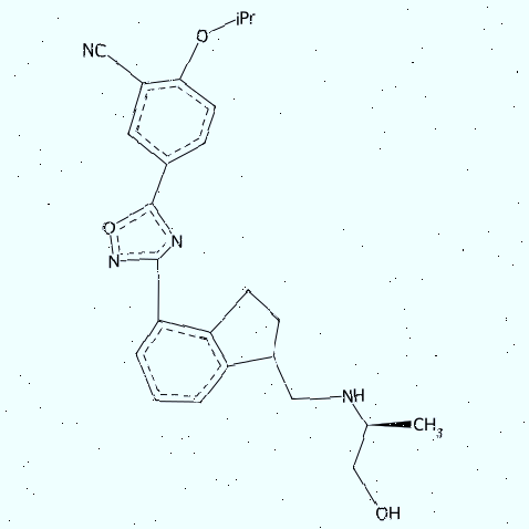 CC(C)Oc1ccc(-c2nc(-c3cccc4c3CCC4CN[C@@H](C)CO)no2)cc1C#N